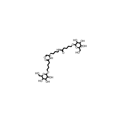 O=C[C@@H](CCCCNC(=O)CCCCOC1OC(CO)[C@H](O)C(O)C1O)NC(=O)CCCCOC1OC(CO)C(O)C(O)C1O